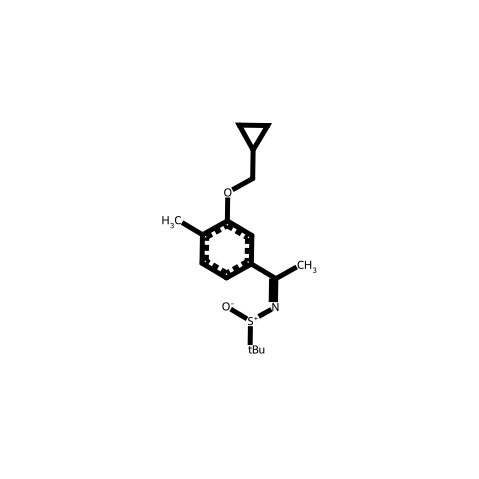 C/C(=N/[S+]([O-])C(C)(C)C)c1ccc(C)c(OCC2CC2)c1